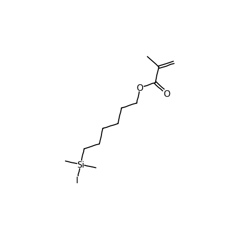 C=C(C)C(=O)OCCCCCC[Si](C)(C)I